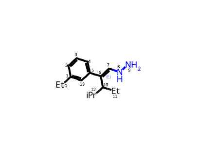 CCc1cccc(/C(=C/NN)C(CC)C(C)C)c1